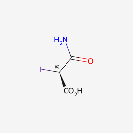 NC(=O)[C@H](I)C(=O)O